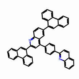 c1ccc2nc(-c3ccc(-c4cc(-c5cc6ccccc6c6ccccc56)nc5ccc(-c6cc7ccccc7c7ccccc67)cc45)cc3)ccc2c1